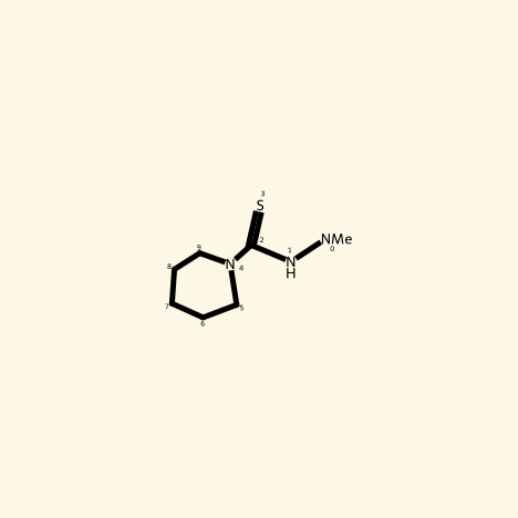 CNNC(=S)N1CCCCC1